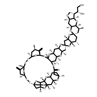 C=C1C[C@@H]2CC[C@@]34C[C@H]5O[C@H]6[C@@H](O3)[C@H]3O[C@H](CC[C@@H]3O[C@H]6C5O4)CC(=O)O[C@@H]3[C@@H](C)[C@@H]4O[C@@H]5C[C@@]6(C[C@@H]7O[C@]8(C[C@H](C)[C@@H]9O[C@@H]%10[C@@H]([C@@H](O)CO)CO[C@@H]%10C[C@@H]9O8)C[C@H](C)[C@@H]7O6)O[C@@H]5C[C@@H]4O[C@H]3C[C@H]3O[C@@H](CC[C@@H]1O2)C[C@@H](C)C3=C